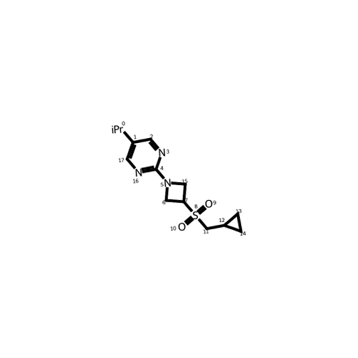 CC(C)c1cnc(N2CC(S(=O)(=O)CC3CC3)C2)nc1